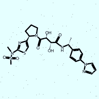 C[C@@H](NC(=O)[C@H](O)[C@@H](O)C(=O)N1CCC[C@@H]1c1csc(N(C)S(C)(=O)=O)n1)c1ccc(-n2cccn2)cc1